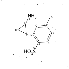 Cc1ccc(S(=O)(=O)O)cc1.NC1CC1